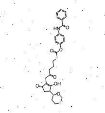 O=C(CCCCC(=O)Oc1ccc(NC(=O)c2ccccc2)cc1)CC1=C(O)C(C2CCCCO2)CC1=O